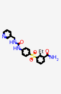 CCc1c(C(N)=O)cccc1S(=O)(=O)c1ccc(NC(=O)NCc2cccnc2)cc1